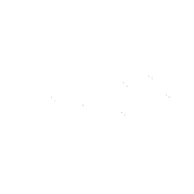 CCOC(=O)N1CCC2(CCC(N(C)c3ncnc4[nH]ccc34)CC2)CC1